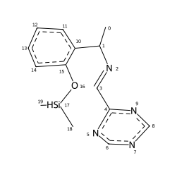 CC(N=Cc1ncncn1)c1ccccc1O[SiH](C)C